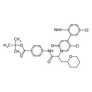 CC(C)(C)OC(=O)c1ccc(NC(=O)C(CC2CCCCO2)n2cc(Cl)c(-c3cc(Cl)ccc3C#N)cc2=O)cc1